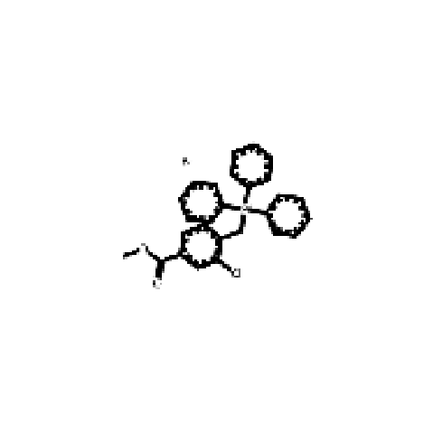 COC(=O)c1ccc(C[P+](c2ccccc2)(c2ccccc2)c2ccccc2)c(Cl)c1.[Br-]